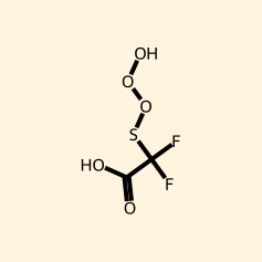 O=C(O)C(F)(F)SOOO